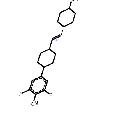 CCCCC[C@H]1CC[C@H](/C=C/C2CCC(c3cc(F)c(C#N)c(F)c3)CC2)CC1